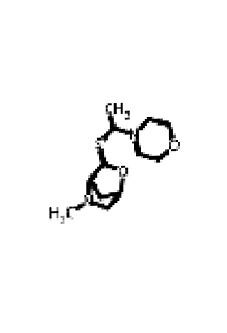 CC(SC1OC2CC1N(C)C2)N1CCOCC1